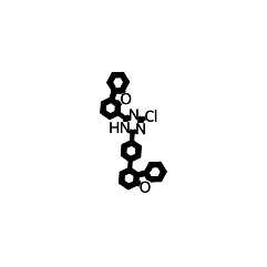 ClC1=NC(c2ccc(-c3cccc4oc5ccccc5c34)cc2)NC(c2cccc3c2oc2ccccc23)=N1